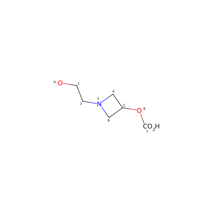 [O]CCN1CC(OC(=O)O)C1